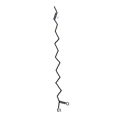 C/C=C/CCCCCCCCCCCCC(=O)CC